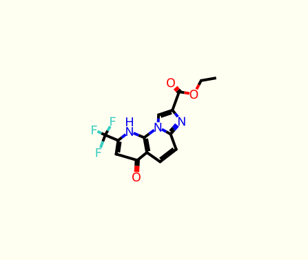 CCOC(=O)c1cn2c(ccc3c(=O)cc(C(F)(F)F)[nH]c32)n1